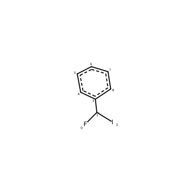 F[C](I)c1ccccc1